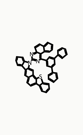 c1ccc(-c2cc(-c3ccccc3)cc(-c3nc(-n4c5ccccc5c5cc6ccc7c8ccccc8sc7c6cc54)nc4ccc5ccccc5c34)c2)cc1